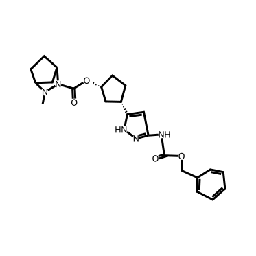 CN1C2CCC(C2)N1C(=O)O[C@@H]1CC[C@H](c2cc(NC(=O)OCc3ccccc3)n[nH]2)C1